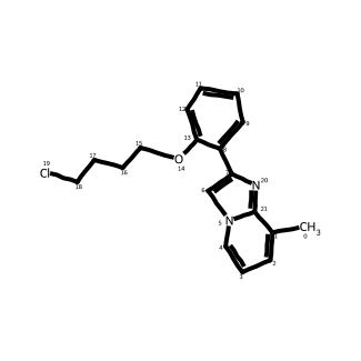 Cc1cccn2cc(-c3ccccc3OCCCCCl)nc12